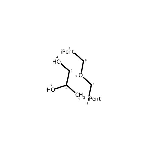 CC(O)CO.CCCC(C)COCC(C)CCC